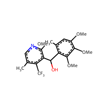 COc1cc(C)c(C(O)c2c(OC)ncc(C)c2C(F)(F)F)c(OC)c1OC